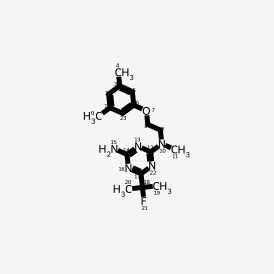 Cc1cc(C)cc(OCCN(C)c2nc(N)nc(C(C)(C)F)n2)c1